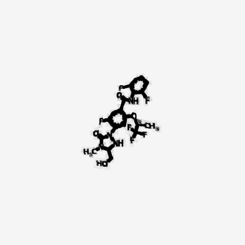 C[C@H](Oc1cc(N2NC(CO)N(C)C2=O)c(F)cc1C(=O)Nc1c(F)cccc1F)C(F)(F)F